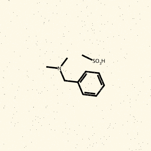 CN(C)Cc1ccccc1.CS(=O)(=O)O